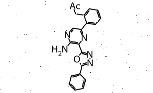 CC(=O)Cc1ccccc1-c1cnc(N)c(-c2nnc(-c3ccccc3)o2)n1